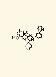 CCn1c(C(C)O)nc2c(N3CCOCC3)nc(-c3cccc(-n4cccn4)c3)nc21